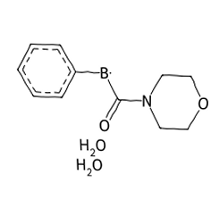 O.O.O=C([B]c1ccccc1)N1CCOCC1